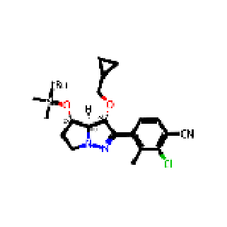 Cc1c(C2=NN3CC[C@H](O[Si](C)(C)C(C)(C)C)[C@H]3[C@@H]2OCC2CC2)ccc(C#N)c1Cl